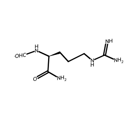 N=C(N)NCCC[C@H](N[C]=O)C(N)=O